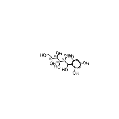 OC[C@@H](O)[C@@H](O)[C@H](O)[C@@H](O)C(O)c1c(O)cc(O)cc1O